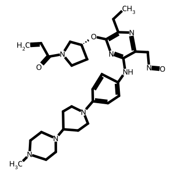 C=CC(=O)N1CC[C@@H](Oc2nc(Nc3ccc(N4CCC(N5CCN(C)CC5)CC4)cc3)c(CN=O)nc2CC)C1